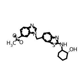 CS(=O)(=O)c1ccc2ncn(Cc3ccc4nc(NC5CCCC[C@H]5O)sc4c3)c2c1